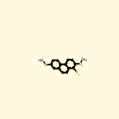 CCCCOc1ccc2c(ccc3c(F)c(OCCCC)ccc32)c1